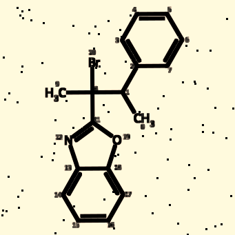 CC(c1ccccc1)C(C)(Br)c1nc2ccccc2o1